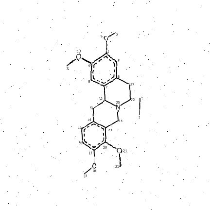 CI.COc1cc2c(cc1OC)C1Cc3ccc(OC)c(OC)c3CN1CC2